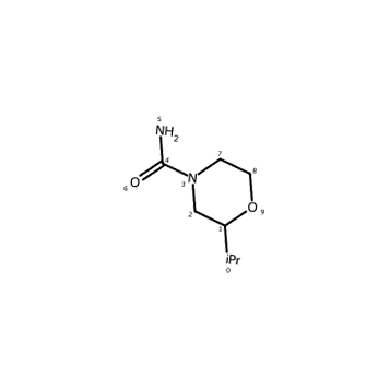 CC(C)C1CN(C(N)=O)CCO1